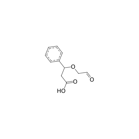 O=CCOC(CC(=O)O)c1ccccc1